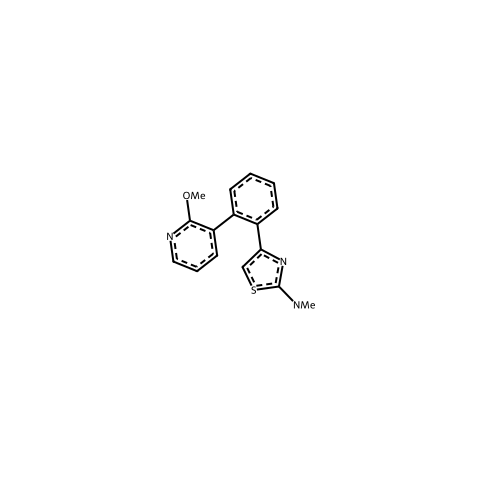 CNc1nc(-c2ccccc2-c2cccnc2OC)cs1